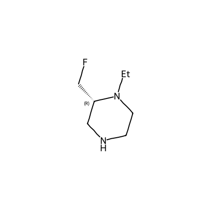 CCN1CCNC[C@@H]1CF